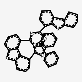 c1ccc(-c2nc(-c3cccc4c3sc3ccccc34)nc(-c3cccc4sc5cccc(-c6nc7ccccc7s6)c5c34)n2)cc1